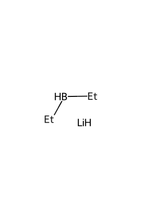 CCBCC.[LiH]